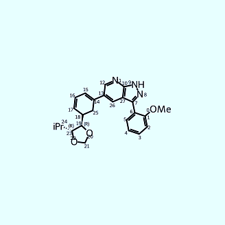 COc1ccccc1-c1n[nH]c2ncc(C3=CC=CC([C@H]4OCO[C@@H]4C(C)C)C3)cc12